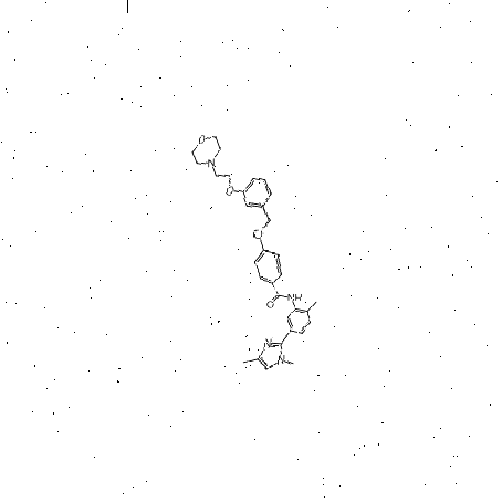 Cc1cn(C)c(-c2ccc(C)c(NC(=O)c3ccc(OCc4cccc(OCCN5CCOCC5)c4)cc3)c2)n1